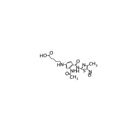 CC(=O)Nc1cc(NCCCCC(=O)O)ccc1C(=O)Nc1nc(C)c(N=O)s1